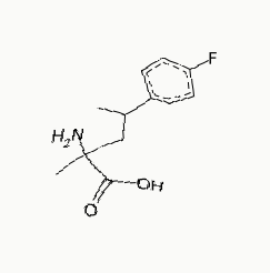 CC(CC(C)(N)C(=O)O)c1ccc(F)cc1